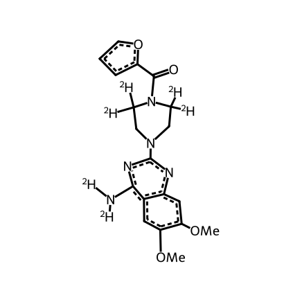 [2H]N([2H])c1nc(N2CC([2H])([2H])N(C(=O)c3ccco3)C([2H])([2H])C2)nc2cc(OC)c(OC)cc12